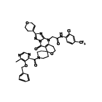 Cc1ncnc(C(=O)N2CCC3(CC2)OCCc2c3c(=O)n3nc(C4=CCOCC4)nc3n2CC(=O)Nc2ccc(C(F)(F)F)cc2Cl)c1OCc1ccccc1